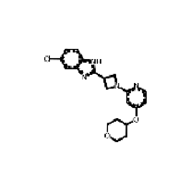 Clc1ccc2[nH]c(C3CN(c4cc(OC5CCOCC5)ccn4)C3)nc2c1